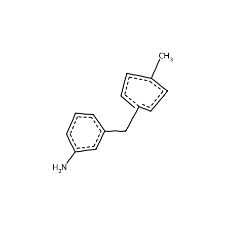 Cc1ccc(Cc2cccc(N)c2)cc1